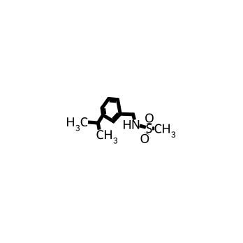 CC(C)c1cccc(CNS(C)(=O)=O)c1